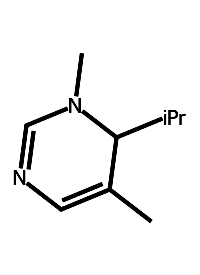 CC1=CN=CN(C)C1C(C)C